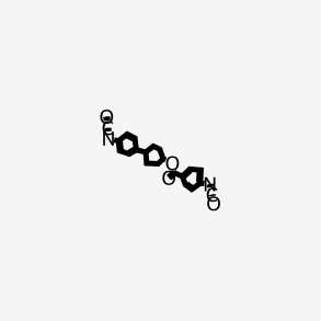 O=C=Nc1ccc(C(=O)OC2CCC(c3ccc(N=C=O)cc3)CC2)cc1